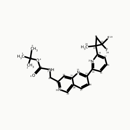 CC(C)(C)OC(=O)NCc1cc2nc(-c3cccc(C4(C)CC4(F)F)n3)ccc2cn1